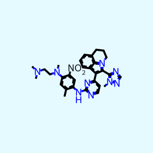 Cc1cc(N(C)CCN(C)C)c([N+](=O)[O-])cc1Nc1nccc(-c2c(-c3ncnn3C)n3c4c(cccc24)CCC3)n1